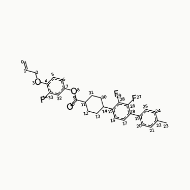 C=CCOc1ccc(OC(=O)C2CCC(c3ccc(-c4ccc(C)cc4)c(F)c3F)CC2)cc1F